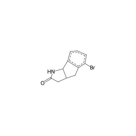 O=C1CC2Cc3c(Br)cccc3C2N1